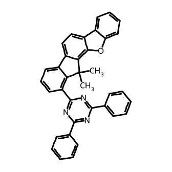 CC1(C)c2c(-c3nc(-c4ccccc4)nc(-c4ccccc4)n3)cccc2-c2ccc3c(oc4ccccc43)c21